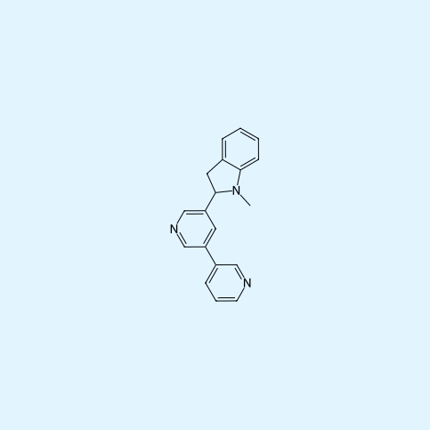 CN1c2ccccc2CC1c1cncc(-c2cccnc2)c1